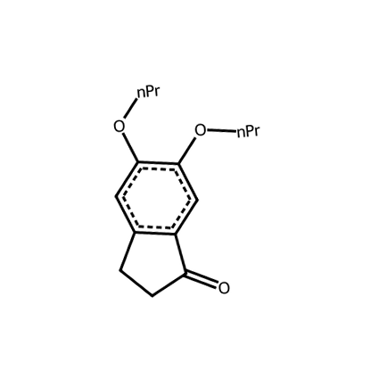 CCCOc1cc2c(cc1OCCC)C(=O)CC2